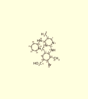 Cc1cnc(Nc2c(C)cc(C(=O)O)c(Br)c2C)nc1Nc1ccccc1